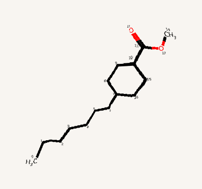 CCCCCCCC1CCC(C(=O)OC)CC1